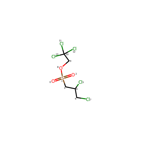 O=S(=O)(CC(Cl)CCl)OCC(Cl)(Cl)Cl